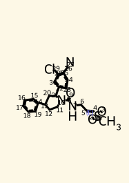 CS(=O)(=O)/C=C/CNC(=O)N1CCC(c2ccccc2)CC1c1ccc(C#N)c(Cl)c1